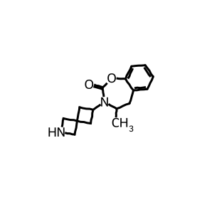 CC1Cc2ccccc2OC(=O)N1C1CC2(CNC2)C1